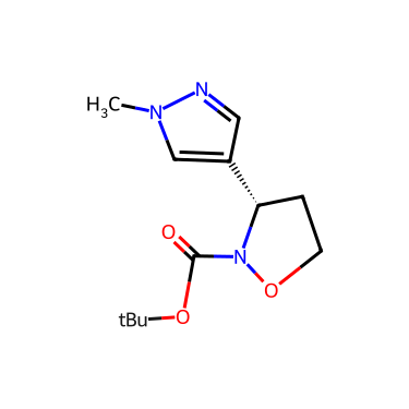 Cn1cc([C@@H]2CCON2C(=O)OC(C)(C)C)cn1